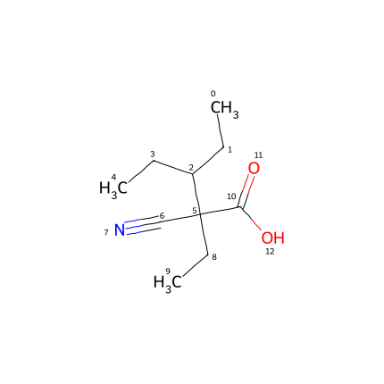 CCC(CC)C(C#N)(CC)C(=O)O